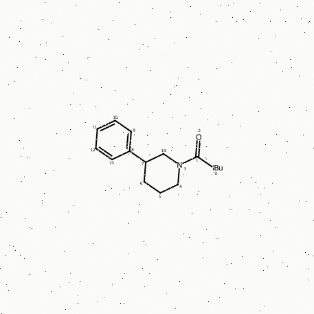 CCC(C)C(=O)N1CCCC(c2ccccc2)C1